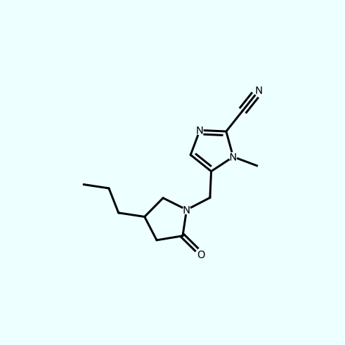 CCCC1CC(=O)N(Cc2cnc(C#N)n2C)C1